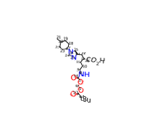 CC(C)(C)C(=O)OCOC(=O)NCCCC(Cc1cn([C@H]2CC[C@H](C)CC2)cn1)C(=O)O